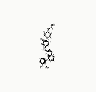 CC(=O)Nc1cccc(-c2cccc3cnc(Nc4ccc(N5CCN(CCO)CC5)c(F)c4)nc23)c1